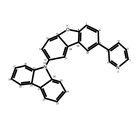 c1cncc(-c2ccc3oc4ccc(-n5c6ccccc6c6ccccc65)cc4c3c2)c1